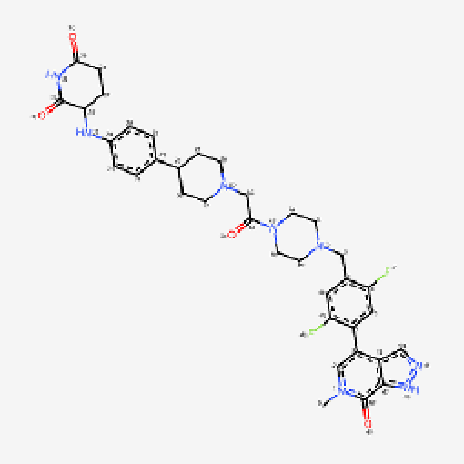 Cn1cc(-c2cc(F)c(CN3CCN(C(=O)CN4CCC(c5ccc(NC6CCC(=O)NC6=O)cc5)CC4)CC3)cc2F)c2cn[nH]c2c1=O